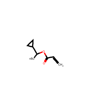 C=CC(=O)OC(CCCC)C1CC1